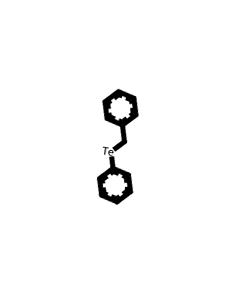 [c]1ccc([Te]Cc2ccccc2)cc1